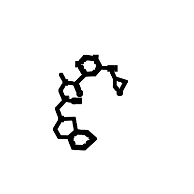 CN(C[C@H](O)CN1CCc2ccccc2C1)C(=O)c1cc(NC2COC2)ncn1